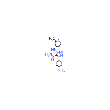 NC(=O)c1c(-c2ccc(N)cc2)n[nH]c1Nc1ccnc(C(F)(F)F)c1